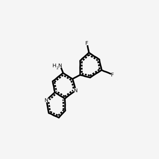 Nc1cc2ncccc2nc1-c1cc(F)cc(F)c1